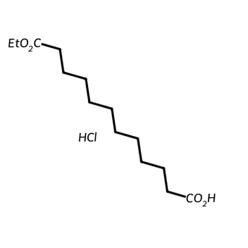 CCOC(=O)CCCCCCCCCCC(=O)O.Cl